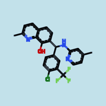 Cc1ccnc(NC(c2ccc(Cl)c(C(F)(F)F)c2)c2ccc3ccc(C)nc3c2O)c1